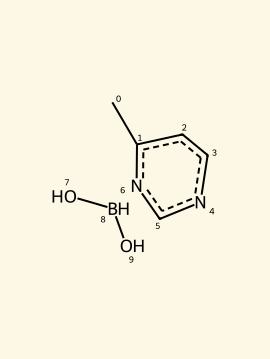 Cc1ccncn1.OBO